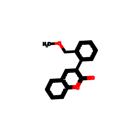 COCc1ccccc1-c1cc2ccccc2oc1=O